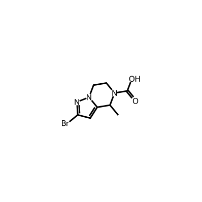 CC1c2cc(Br)nn2CCN1C(=O)O